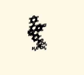 CC(C)(C)OC(=O)N1CCC(c2nnc(CCN3CCOCC3)n2-c2ccc(Cl)cc2)CC1